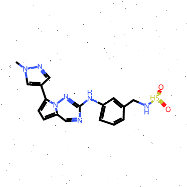 Cn1cc(-c2ccc3cnc(Nc4cccc(CN[SH](=O)=O)c4)nn23)cn1